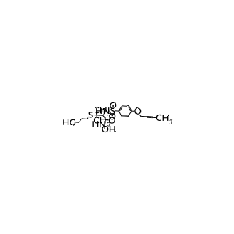 CC#CCOc1ccc(S(=O)(=O)NC(C(=O)NO)C(C)(C)SCCCO)cc1